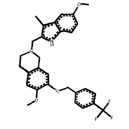 COc1ccc2[nH]c(CN3CCc4cc(OC)c(OCc5ccc(C(F)(F)F)cc5)cc4C3)c(C)c2c1